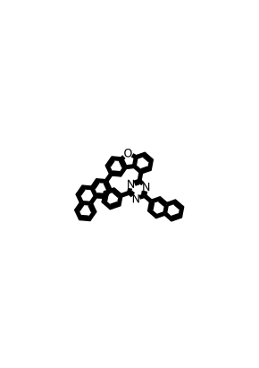 C1=CC2=CC(c3nc(C4=CC=CC5Oc6ccc(-c7ccc8c(ccc9ccccc98)c7)cc6C45)nc(-c4ccccc4)n3)=CCC2C=C1